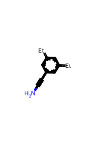 CCc1cc(C#CN)cc(CC)c1